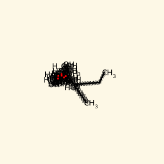 CCCCCCCC/C=C\CCCCCCCCCCCCCCCC(=O)N[C@@H](CO[C@@H]1OC(CO)[C@@H](O[C@@H]2OC(CO)[C@H](O[C@@H]3OC(CO)[C@H](O)[C@H](O)C3N(C(C)=O)[C@H]3OC(C)[C@@H](O)C(O)[C@@H]3O)[C@H](O[C@]3(C(=O)O)CC(O)[C@@H](NC(C)=O)C([C@H](O)[C@@H](CO)O[C@]4(C(=O)O)CC(O)[C@@H](NC(C)=O)C([C@H](O)[C@H](O)CO)O4)O3)C2O)[C@H](O)C1O)[C@H](O)/C=C/CCCCCCCCCCCCC